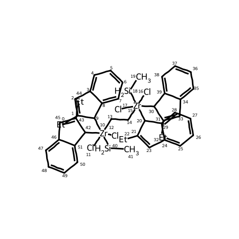 CCC1=Cc2ccccc2[CH]1[Zr]([Cl])([Cl])([CH2][CH2][Zr]([Cl])([Cl])([SiH2]C)([CH]1C(CC)=Cc2ccccc21)[CH]1C(CC)=Cc2ccccc21)([SiH2]C)[CH]1C(CC)=Cc2ccccc21